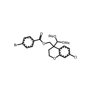 COC(OC)C1(COC(=O)c2ccc(Br)cc2)CCOc2cc(Cl)ccc21